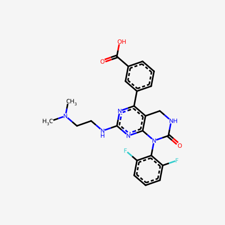 CN(C)CCNc1nc(-c2cccc(C(=O)O)c2)c2c(n1)N(c1c(F)cccc1F)C(=O)NC2